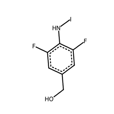 OCc1cc(F)c(NI)c(F)c1